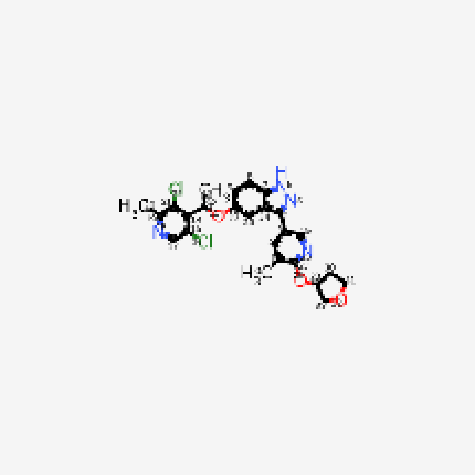 Cc1cc(-c2n[nH]c3ccc(O[C@H](C)c4c(Cl)cnc(C)c4Cl)cc23)cnc1O[C@H]1CCOC1